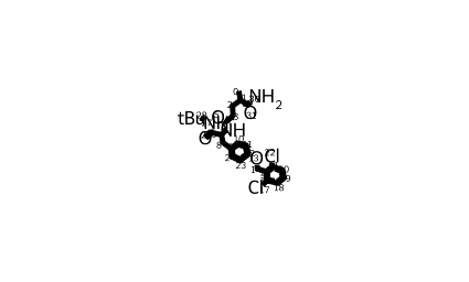 CC(C[CH]C(=O)NC(Cc1ccc(OCc2c(Cl)cccc2Cl)cc1)C(=O)NC(C)(C)C)C(N)=O